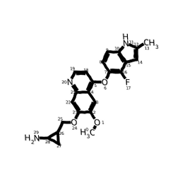 COc1cc2c(Oc3ccc4[nH]c(C)cc4c3F)ccnc2cc1OCC1CC1N